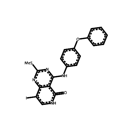 CSc1nc(Nc2ccc(Oc3ccccc3)cc2)c2c(=O)[nH]cc(I)c2n1